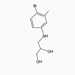 Cc1cc(NCC(O)CO)ccc1Br